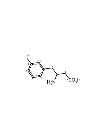 NC(CC(=O)O)Cc1cccc(I)c1